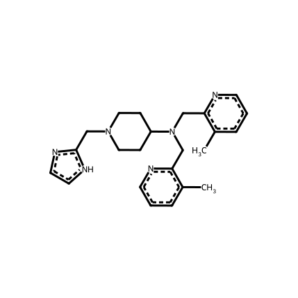 Cc1cccnc1CN(Cc1ncccc1C)C1CCN(Cc2ncc[nH]2)CC1